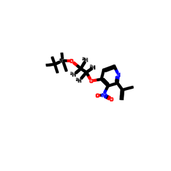 [2H]C([2H])(Oc1ccnc(C(=C)C)c1[N+](=O)[O-])C([2H])([2H])O[Si](C)(C)C(C)(C)C